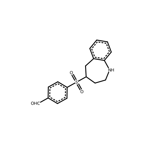 O=Cc1ccc(S(=O)(=O)C2CCNc3ccccc3C2)cc1